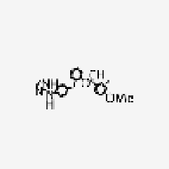 COc1ccc(C(C)Oc2ccccc2Cc2ccc(NC3=NCCN3)cc2)cc1